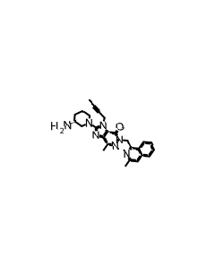 CC#CCn1c(N2CCC[C@@H](N)C2)nc2c(C)nn(Cc3nc(C)cc4ccccc34)c(=O)c21